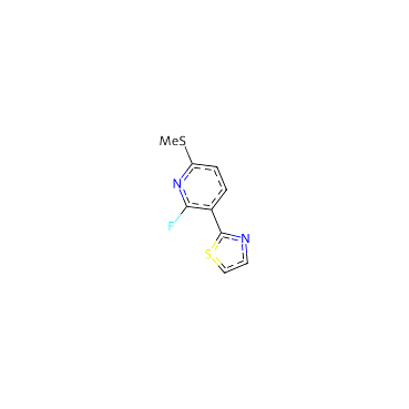 CSc1ccc(-c2nccs2)c(F)n1